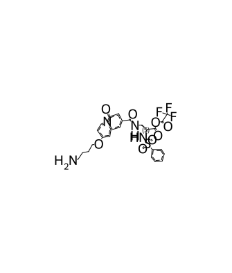 NCCCCOc1ccn2c(=O)cc(C(=O)NC[C@H](NS(=O)(=O)c3ccccc3)C(=O)OC(=O)C(F)(F)F)cc2c1